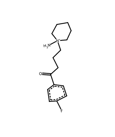 N[N+]1(CCCC(=O)c2ccc(F)cc2)CCCCC1